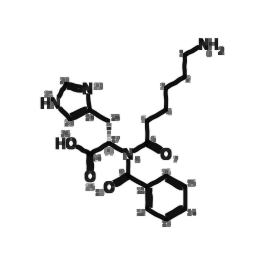 NCCCCCC(=O)N(C(=O)c1ccccc1)[C@@H](Cc1c[nH]cn1)C(=O)O